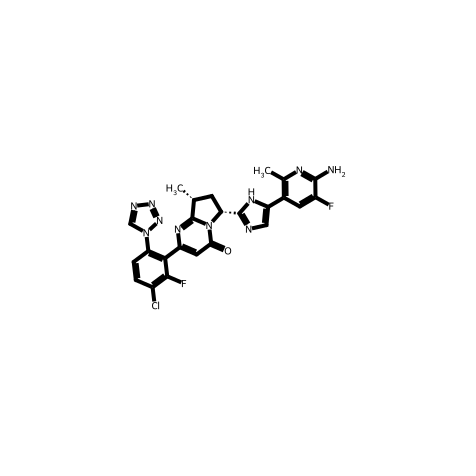 Cc1nc(N)c(F)cc1-c1cnc([C@H]2C[C@@H](C)c3nc(-c4c(-n5cnnn5)ccc(Cl)c4F)cc(=O)n32)[nH]1